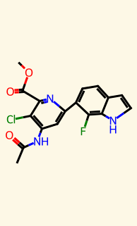 COC(=O)c1nc(-c2ccc3cc[nH]c3c2F)cc(NC(C)=O)c1Cl